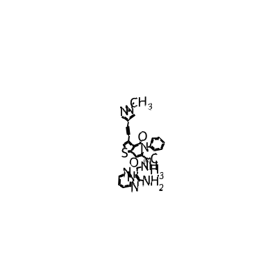 C[C@@H](NC(=O)c1c(N)nc2cccnn12)c1cc2scc(C#Cc3cnn(C)c3)c2c(=O)n1-c1ccccc1